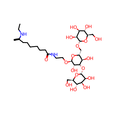 C=C(CCCCCCC(=O)NCCO[C@H]1O[C@H](CO[C@H]2O[C@H](CO)[C@@H](O)[C@H](O)[C@@H]2O)[C@@H](O)[C@H](O[C@H]2O[C@H](CO)[C@@H](O)[C@H](O)[C@@H]2O)[C@@H]1O)NCC